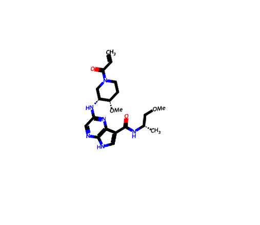 C=CC(=O)N1CC[C@H](OC)[C@H](Nc2cnc3[nH]cc(C(=O)N[C@@H](C)COC)c3n2)C1